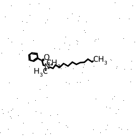 CCCCCCCCCCCC[N+](C)(C)CC(=O)c1ccccc1